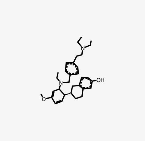 CCN(CC)CCc1ccc(CN(CC)C2C=C(OC)C=CC2[C@@H]2CCc3cc(O)ccc3C2)cc1